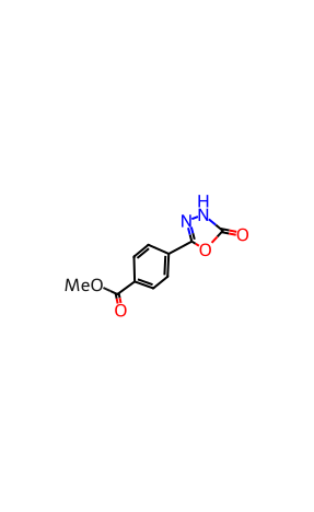 COC(=O)c1ccc(-c2n[nH]c(=O)o2)cc1